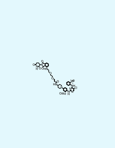 COc1cc(N2CCC(NC(=O)C=COCCOCCNc3cccc4c3C(=O)N(C3CCC(=O)NC3=O)C4=O)CC2)ccc1Nc1ncc(Cl)c(Nc2ccccc2P(C)(C)=O)n1